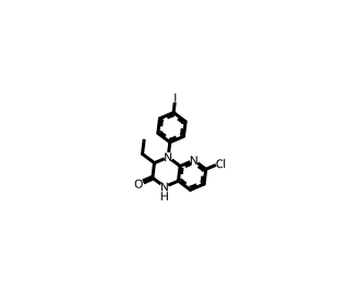 CCC1C(=O)Nc2ccc(Cl)nc2N1c1ccc(I)cc1